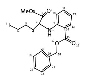 COC(=O)C(CCCI)Nc1ccccc1C(=O)OCc1ccccc1